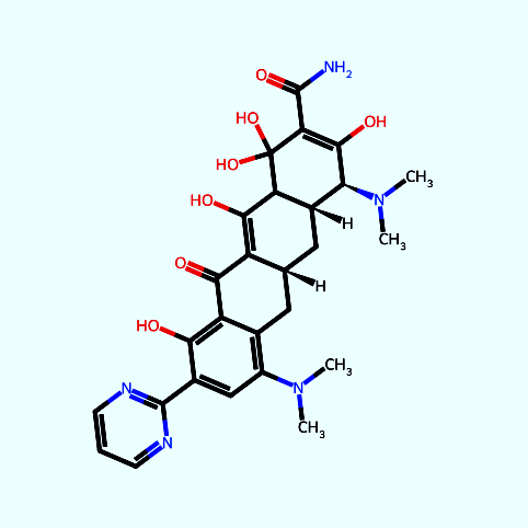 CN(C)c1cc(-c2ncccn2)c(O)c2c1C[C@H]1C[C@@H]3C(C(O)=C1C2=O)C(O)(O)C(C(N)=O)=C(O)[C@H]3N(C)C